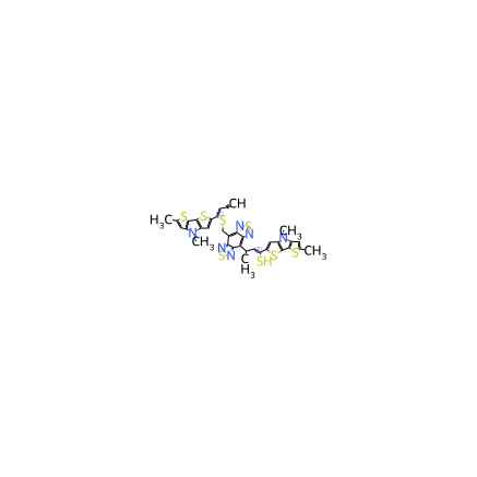 C#C/C=C(\SCc1c2c(c(C(C)/C=C(\S)c3cc4c(s3)c3sc(C)cc3n4C)c3nsnc13)N=S=N2)c1cc2c(s1)c1sc(C)cc1n2C